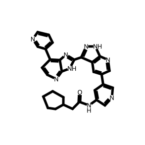 O=C(CC1CCCCC1)Nc1cncc(-c2cnc3[nH]nc(-c4nc5c(-c6cccnc6)ccnc5[nH]4)c3c2)c1